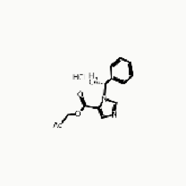 CC(=O)COC(=O)c1cncn1[C@H](C)c1ccccc1.Cl